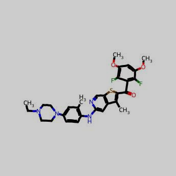 CCN1CCN(c2ccc(Nc3cc4c(C)c(C(=O)c5c(F)c(OC)cc(OC)c5F)sc4cn3)c(C)c2)CC1